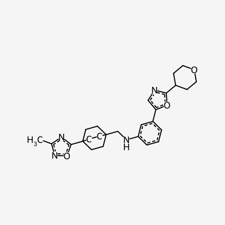 Cc1noc(C23CCC(CNc4cccc(-c5cnc(C6CCOCC6)o5)c4)(CC2)CC3)n1